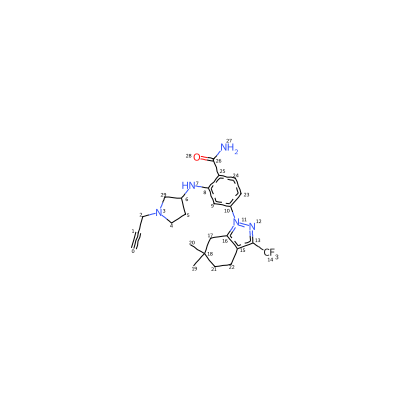 C#CCN1CCC(Nc2cc(-n3nc(C(F)(F)F)c4c3CC(C)(C)CC4)ccc2C(N)=O)C1